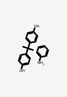 CC(C)(c1ccc(O)cc1)c1ccc(O)cc1.Nc1ccccc1